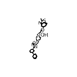 Cc1nc2cc(OC[C@H](O)CN3CCN(Cc4nc(-c5cccc(-c6ccccc6)c5)no4)CC3)ccc2s1